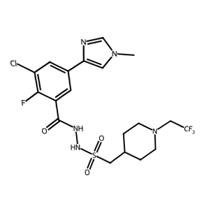 Cn1cnc(-c2cc(Cl)c(F)c(C(=O)NNS(=O)(=O)CC3CCN(CC(F)(F)F)CC3)c2)c1